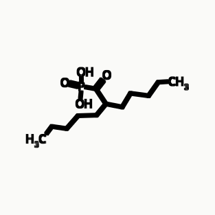 CCCCCC(CCCCC)C(=O)P(=O)(O)O